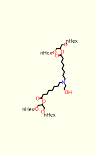 CCCCCCOCC(COCCCCCC)OC(=O)CCCCCCCN(CCO)CCCCCCCC(=O)OC(COCCCCCC)COCCCCCC